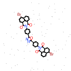 O=C1c2cccc3c(Br)ccc(c23)C(=O)N1c1ccc(-c2nnc(-c3ccc(N4C(=O)c5cccc6c(Br)ccc(c56)C4=O)cc3)o2)cc1